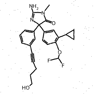 CN1C(=O)C(c2cccc(C#CCCCO)c2)(c2ccc(OC(F)F)c(C3CC3)c2)N=C1N